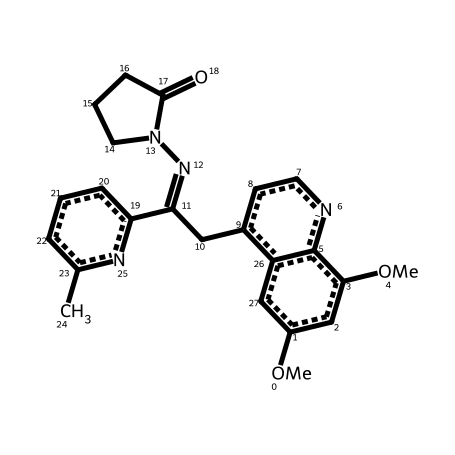 COc1cc(OC)c2nccc(CC(=NN3CCCC3=O)c3cccc(C)n3)c2c1